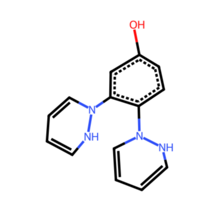 Oc1ccc(N2C=CC=CN2)c(N2C=CC=CN2)c1